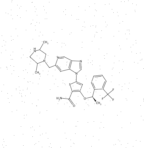 CC1CN(Cc2cc3c(cn2)ncn3-c2cc(O[C@H](C)c3ccccc3C(F)(F)F)c(C(N)=O)s2)C(C)CN1